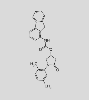 Cc1ccc(C)c(N2CC(OC(=O)Nc3cccc4c3Cc3ccccc3-4)CC2=O)c1